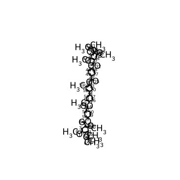 COc1cc(C(=O)Oc2ccc(C(=O)Oc3ccc(-c4ccc(OC(=O)c5ccc(OC(=O)c6cc(OC)c(OC(C)(C)C)cc6OC)cc5)c(C)c4)cc3C)cc2)c(OC)cc1OC(C)(C)C